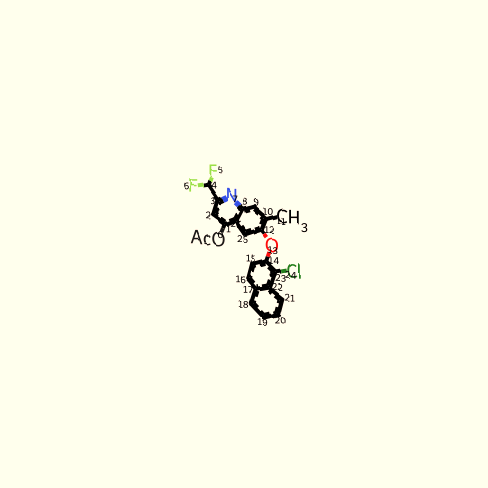 CC(=O)Oc1cc(C(F)F)nc2cc(C)c(Oc3ccc4ccccc4c3Cl)cc12